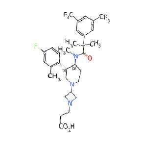 Cc1cc(F)ccc1[C@H]1CN(C2CN(CCC(=O)O)C2)CC[C@@H]1N(C)C(=O)C(C)(C)c1cc(C(F)(F)F)cc(C(F)(F)F)c1